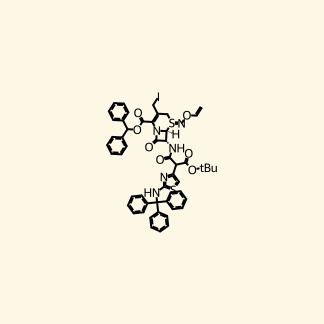 C=CON=S1CC(CI)=C(C(=O)OC(c2ccccc2)c2ccccc2)N2C(=O)[C@@H](NC(=O)C(C(=O)OC(C)(C)C)c3csc(NC(c4ccccc4)(c4ccccc4)c4ccccc4)n3)[C@@H]21